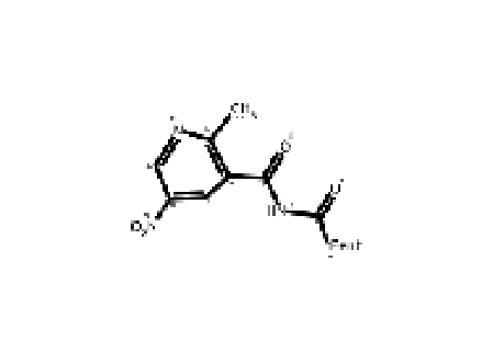 CCCCCC(=O)NC(=O)c1cc([N+](=O)[O-])cnc1C